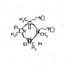 CCC1=C(C)c2cc3[nH]c(cc4nc(cc5[nH]c(cc1n2)c(C)c5CCCN1CCCC1)C(CCCN1CCCC1)=C4C)c(C)c3CC.[Pt]